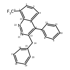 FC(F)(F)c1cccc2c(-c3ccccc3)c(Cc3ccccc3)nnc12